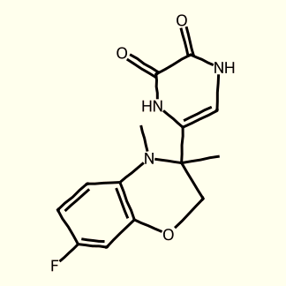 CN1c2ccc(F)cc2OCC1(C)c1c[nH]c(=O)c(=O)[nH]1